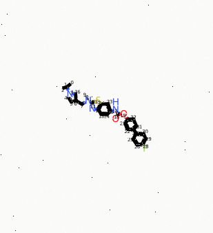 CC(C)N1CCC(CN(C)c2nc3ccc(NC(=O)Oc4ccc(-c5ccc(F)cc5)cc4)cc3s2)C1